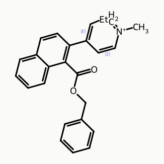 C=[N+](C)/C=C\C(=C/CC)c1ccc2ccccc2c1C(=O)OCc1ccccc1